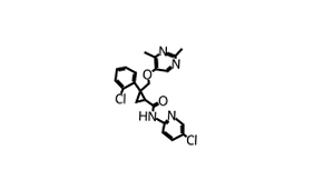 Cc1ncc(OCC2(c3ccccc3Cl)CC2C(=O)Nc2ccc(Cl)cn2)c(C)n1